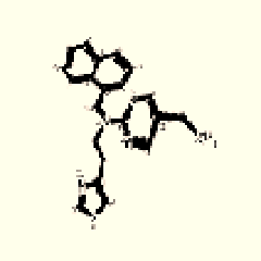 CCc1cnc(N(CCc2cs[c]n2)Cc2cccc3ccccc23)nc1